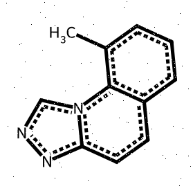 Cc1cccc2ccc3nncn3c12